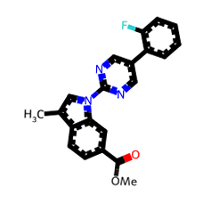 COC(=O)c1ccc2c(C)cn(-c3ncc(-c4ccccc4F)cn3)c2c1